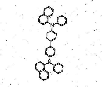 C1=C(c2ccc(N(c3ccccc3)c3cccc4ccccc34)cc2)CCC(N(c2ccccc2)c2cccc3ccccc23)=C1